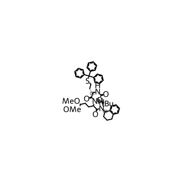 COC(CCC(NC(=O)[C@H](CCSC(c1ccccc1)(c1ccccc1)c1ccccc1)NC(=O)OC(C)(C)C)C(=O)N[C@@H]1CCCc2ccccc21)OC